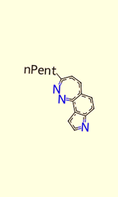 CCCCCc1ccc2ccc3nccc3c2nn1